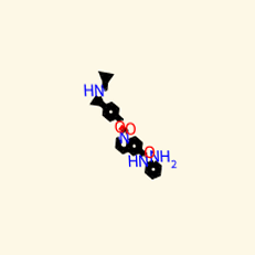 Nc1ccccc1NC(=O)c1ccc2c(c1)CCCN2C(=O)OCc1ccc(C2CC2NCC2CC2)cc1